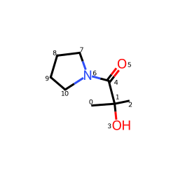 CC(C)(O)C(=O)N1CCCC1